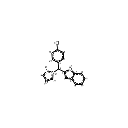 Clc1ccc(C(c2cc3ccccc3o2)n2cncn2)cc1